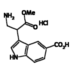 COC(=O)C(CN)c1c[nH]c2ccc(C(=O)O)cc12.Cl